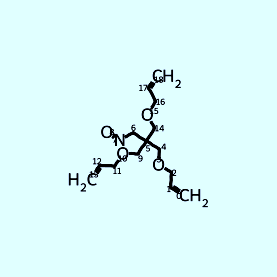 C=CCOCC(CN=O)(COCC=C)COCC=C